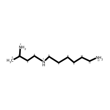 CC(N)CCNCCCCCCN